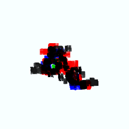 CCCCOc1ccc(NC(=O)c2cncc(CNC3(C)C[C@H](O[C@H]4C(Oc5c6cc7cc5Oc5ccc(cc5Cl)[C@@H](O)[C@H]5NC(=O)[C@@H](NC(=O)C7NC(=O)[C@H](CC(N)=O)NC(=O)[C@H](NC(=O)[C@H](CC(C)C)NC)[C@H](O)c7ccc(c(Cl)c7)O6)c6ccc(O)c(c6)-c6c(O)cc(O)cc6[C@H](C(=O)O)NC5=O)O[C@@H](CO)[C@@H](O)[C@H]4O)O[C@H](C)[C@@H]3O)c2)cc1